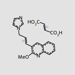 COc1nc2ccccc2cc1/C=C/Cn1ccnc1.O=C(O)/C=C/C(=O)O